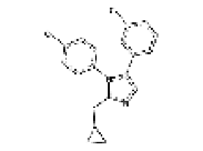 Clc1ccc(-n2c(-c3cccc(Cl)c3)cnc2CC2CC2)cc1